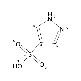 O=S(=O)(O)c1cn[nH]c1